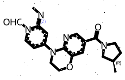 C/N=c1/cc(N2CCOc3cc(C(=O)N4CC[C@@H](C)C4)cnc32)ccn1C=O